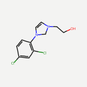 OCCN1C=CN(c2ccc(Cl)cc2Cl)C1